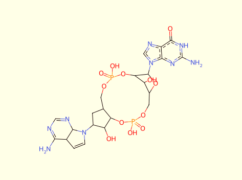 NC1=NC=NC2C1C=CN2C1CC2COP(=O)(O)OC3C(O)C(COP(=O)(O)OC2C1O)OC3n1cnc2c(=O)[nH]c(N)nc21